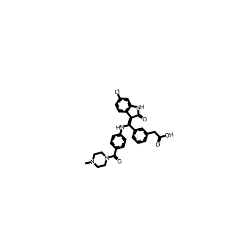 CN1CCN(C(=O)c2ccc(NC(=C3C(=O)Nc4cc(Cl)ccc43)c3cccc(CC(=O)O)c3)cc2)CC1